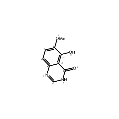 COc1ccc2nc[nH]c(=O)c2c1O